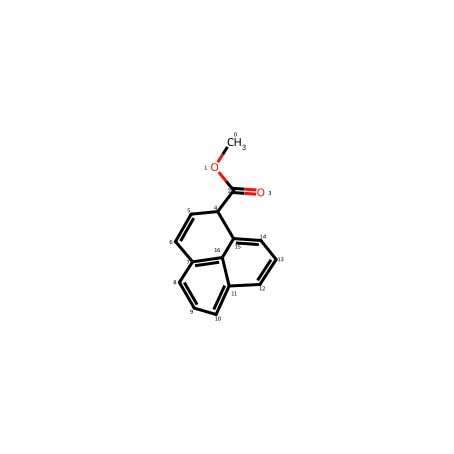 COC(=O)C1C=Cc2cccc3cccc1c23